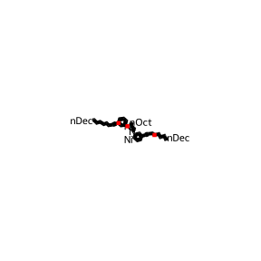 CCCCCCCCCCCCCCCCC#Cc1cccc(N=CC(CCCCCCCC)=Nc2cccc(C#CCCCCCCCCCCCCCCCC)c2)c1.[Ni]